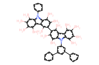 Bc1c(B)c(B)c2c(c1B)c1c(B)c(-c3c(B)c(B)c4c(c3B)c3c(B)c(B)c(B)c(B)c3n4-c3cc(-c4ccccc4)cc(-c4ccccc4)c3)c(B)c(B)c1n2-c1ccccc1